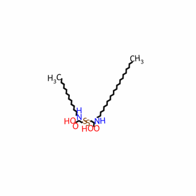 CCCCCCCCCCCCCCCCCCCCCCCNC(CSSCC(NCCCCCCCCCCCCCCC)C(=O)O)C(=O)O